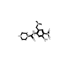 CN(C)Cc1cc([N+](=O)[O-])c(O)cc1NC(=O)N1CCOCC1